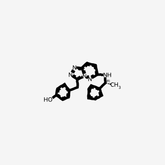 C[C@@H](Nc1ccc2nnc(Cc3ccc(O)cc3)n2n1)c1ccccc1